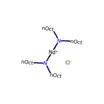 CCCCCCCC[N](CCCCCCCC)[Nd+][N](CCCCCCCC)CCCCCCCC.[Cl-]